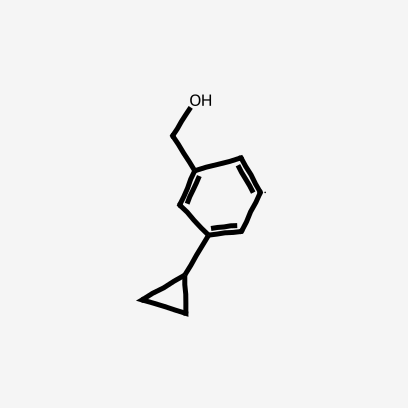 OCc1c[c]cc(C2CC2)c1